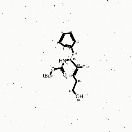 CC(C)(C)OC(=O)N[C@H](Cc1ccccc1)/C(F)=C/CCO